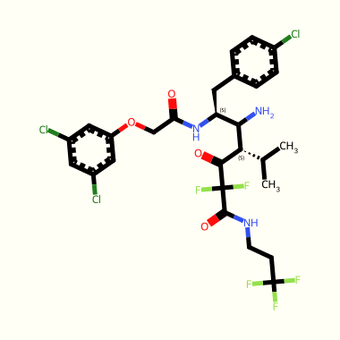 CC(C)[C@H](C(=O)C(F)(F)C(=O)NCCC(F)(F)F)C(N)[C@H](Cc1ccc(Cl)cc1)NC(=O)COc1cc(Cl)cc(Cl)c1